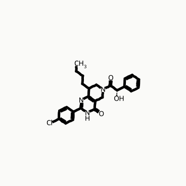 CCCCC1CN(C(=O)[C@@H](O)c2ccccc2)Cc2c1nc(-c1ccc(Cl)cc1)[nH]c2=O